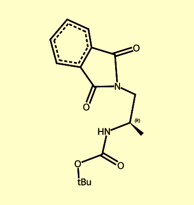 C[C@H](CN1C(=O)c2ccccc2C1=O)NC(=O)OC(C)(C)C